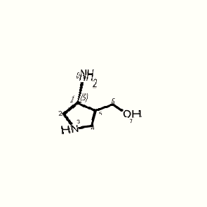 N[C@@H]1CNCC1CO